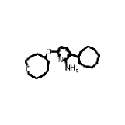 Nc1nc(OC2CCCCCCCCC2)ccc1C1CCCCCCCC1